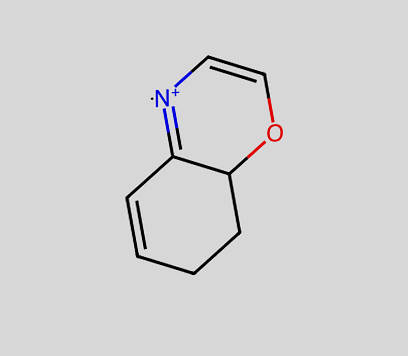 C1=CC2=[N+]C=COC2CC1